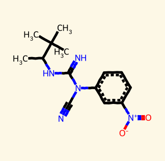 CC(NC(=N)N(C#N)c1cccc([N+](=O)[O-])c1)C(C)(C)C